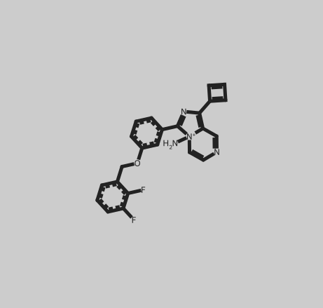 N[N+]12C=CN=CC1=C(C1=CC=C1)N=C2c1cccc(OCc2cccc(F)c2F)c1